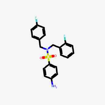 Nc1ccc(S(=O)(=O)N(Cc2ccc(F)cc2)Cc2ccccc2F)cc1